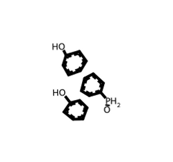 O=[PH2]c1ccccc1.Oc1ccccc1.Oc1ccccc1